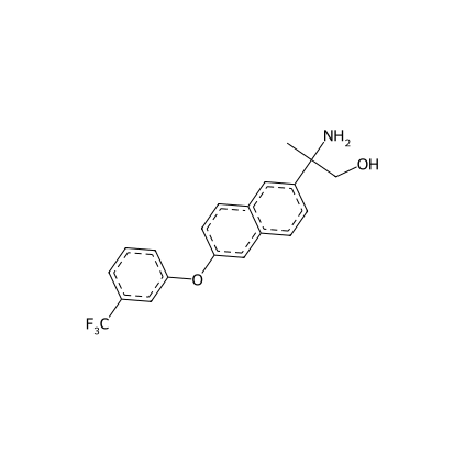 CC(N)(CO)c1ccc2cc(Oc3cccc(C(F)(F)F)c3)ccc2c1